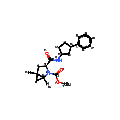 CC(C)(C)OC(=O)N1[C@@H]2C[C@@H]2C[C@H]1C(=O)NC1CCC(c2ccccc2)C1